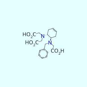 O=C(O)CN(CC(=O)O)[C@@H]1CC=CC[C@H]1N(CC(=O)O)Cc1ccccc1